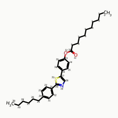 CCCCCCCCCCC(=O)Oc1ccc(-c2cnc(-c3ccc(CCCCCC)cc3)s2)cc1